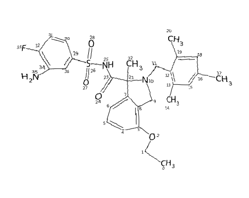 CCOc1cccc2c1CN(Cc1c(C)cc(C)cc1C)C2(C)C(=O)NS(=O)(=O)c1ccc(F)c(N)c1